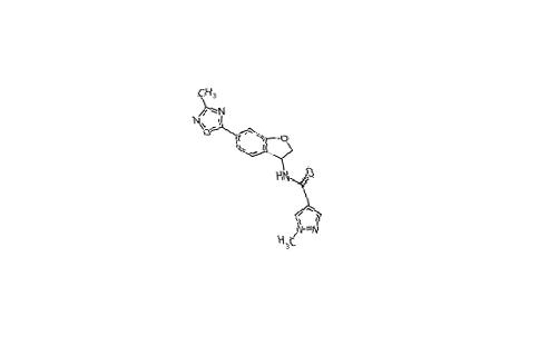 Cc1noc(-c2ccc3c(c2)OCC3NC(=O)c2cnn(C)c2)n1